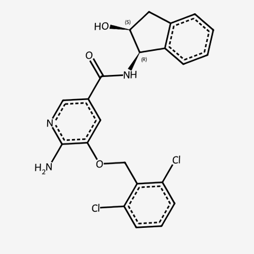 Nc1ncc(C(=O)N[C@@H]2c3ccccc3C[C@@H]2O)cc1OCc1c(Cl)cccc1Cl